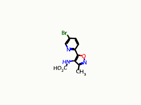 Cc1noc(-c2ccc(Br)cn2)c1NC(=O)O